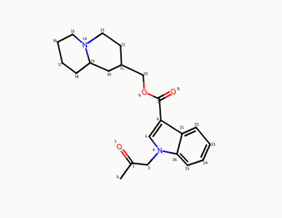 CC(=O)Cn1cc(C(=O)OCC2CCN3CCCCC3C2)c2ccccc21